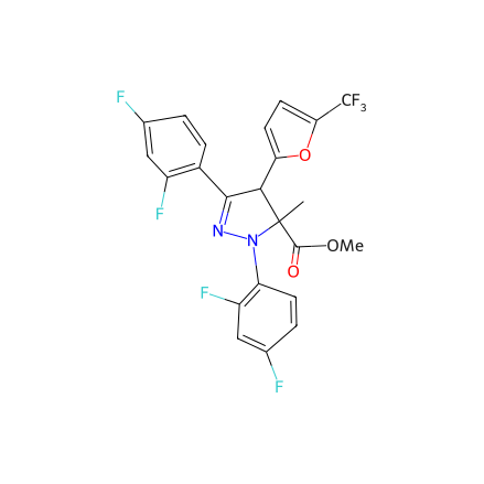 COC(=O)C1(C)C(c2ccc(C(F)(F)F)o2)C(c2ccc(F)cc2F)=NN1c1ccc(F)cc1F